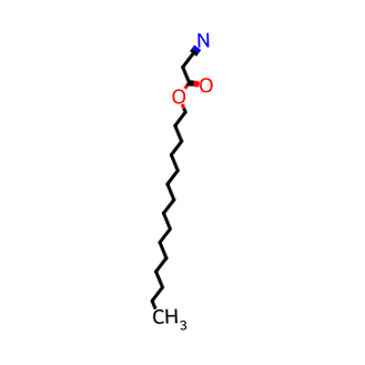 CCCCCCCCCCCCCCCOC(=O)CC#N